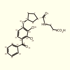 O=C(O)CCNC(=O)[C@H]1CC[C@H](Oc2ccc(C(=O)c3ccccc3)c(Cl)c2Cl)C1